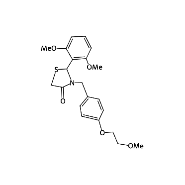 COCCOc1ccc(CN2C(=O)CSC2c2c(OC)cccc2OC)cc1